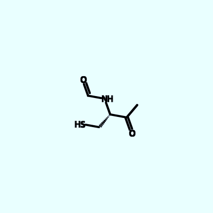 CC(=O)[C@H](CS)NC=O